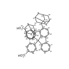 O=C(O)c1ccc(C2(c3ccc(C(=O)O)cc3)c3ccccc3-c3ccc(C45CC6CC(CC(C6)C4)C5)c(C45CC6CC(CC(C6)C4)C5)c32)cc1